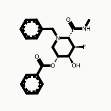 CNC(=O)[C@@H]1[C@@H](F)[C@@H](O)[C@H](OC(=O)c2ccccc2)CN1Cc1ccccc1